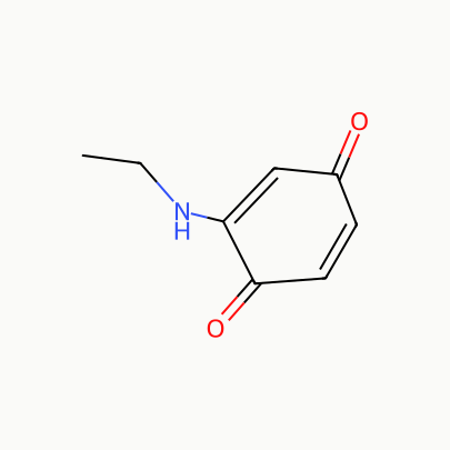 CCNC1=CC(=O)C=CC1=O